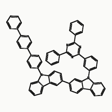 c1ccc(-c2ccc(-c3ccc(-n4c5ccccc5c5cc(-c6ccc7c8ccccc8n(-c8cccc(-c9nc(-c%10ccccc%10)nc(-c%10ccccc%10)n9)c8)c7c6)ccc54)cc3)cc2)cc1